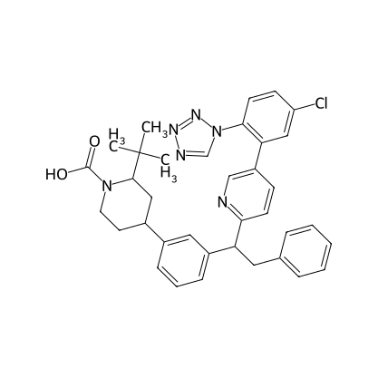 CC(C)(C)C1CC(c2cccc(C(Cc3ccccc3)c3ccc(-c4cc(Cl)ccc4-n4cnnn4)cn3)c2)CCN1C(=O)O